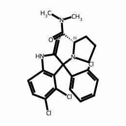 CN(C)C(=O)[C@@H]1CCCN1C1(c2ccccc2Cl)C(=O)Nc2ccc(Cl)c(Cl)c21